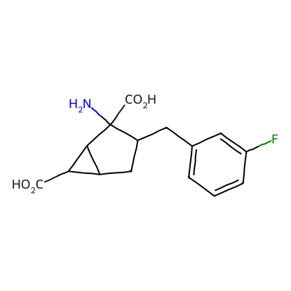 NC1(C(=O)O)C(Cc2cccc(F)c2)CC2C(C(=O)O)C21